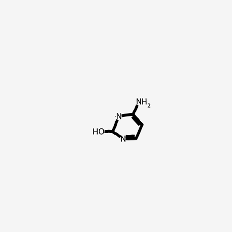 NC1=CC=NC(O)[N]1